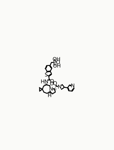 O=C(N[C@H]1CC2(CC[C@H]3CC[C@@H](C(=O)N4CC(c5cccnc5)C4)N3C1=O)CC2)c1cc2cc(CP(=O)(O)O)ccc2s1